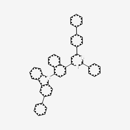 c1ccc(-c2ccc(-c3cc(-c4ccc(-n5c6ccccc6c6cc(-c7ccccc7)ccc65)c5ccccc45)nc(-c4ccccc4)n3)cc2)cc1